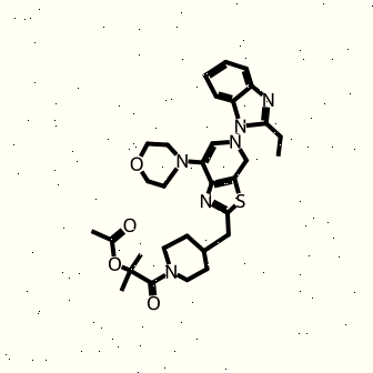 CCc1nc2ccccc2n1N1C=C(N2CCOCC2)c2nc(CC3CCN(C(=O)C(C)(C)OC(C)=O)CC3)sc2C1